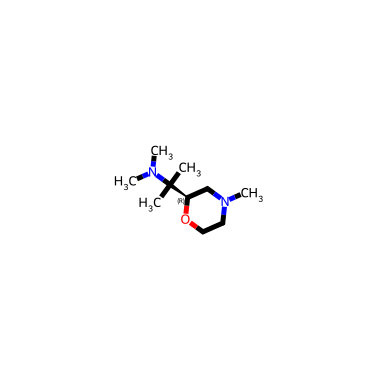 CN1CCO[C@@H](C(C)(C)N(C)C)C1